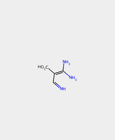 N=CC(C(=O)O)=C(N)N